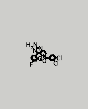 COc1cc(F)ccc1-c1nc(N)nc2c1CN(C(=O)c1ccc(Cl)c(Cl)c1)CC2